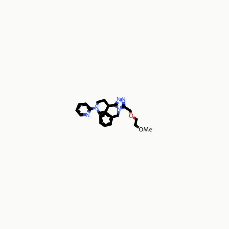 COCCOCc1nnc(C2CCN(c3ccccn3)CC2)n1Cc1ccccc1